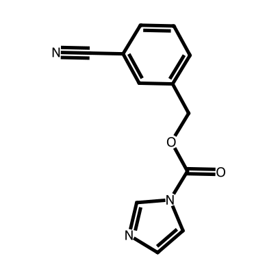 N#Cc1cccc(COC(=O)n2ccnc2)c1